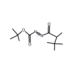 CC(C(=O)/N=N/C(=O)OC(C)(C)C)C(C)(C)C